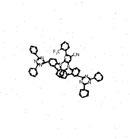 N#Cc1cc(-n2c3ccccc3c3cc(-c4nc(-c5ccccc5)nc(-c5ccccc5)n4)ccc32)c(-n2c3ccccc3c3cc(-c4nc(-c5ccccc5)nc(-c5ccccc5)n4)ccc32)cc1-c1ccccc1C(F)(F)F